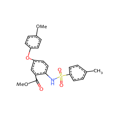 COC(=O)c1cc(Oc2ccc(OC)cc2)ccc1NS(=O)(=O)c1ccc(C)cc1